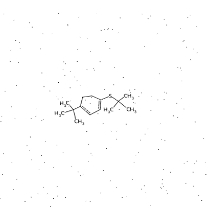 CC(C)(C)SC1=CC=C(C(C)(C)C)CC1